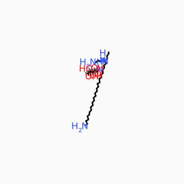 CCCCN(CCCC(CCCCCCCCCCCCCCCCCCCCCCCN)NC(=O)[C@H](O)[C@@H](O)[C@H](O)[C@@H](C)O)NCCCN